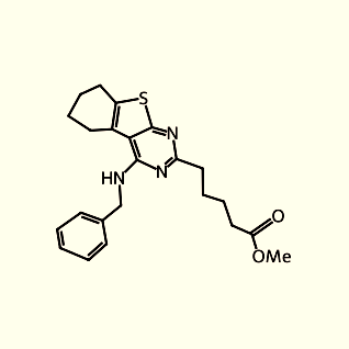 COC(=O)CCCCc1nc(NCc2ccccc2)c2c3c(sc2n1)CCCC3